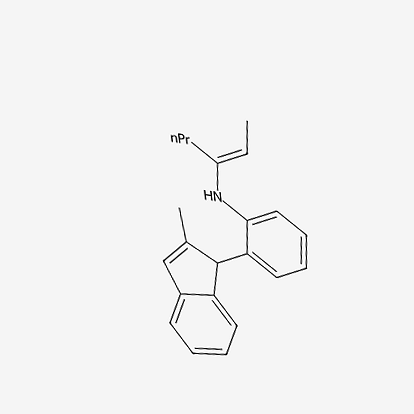 CC=C(CCC)Nc1ccccc1C1C(C)=Cc2ccccc21